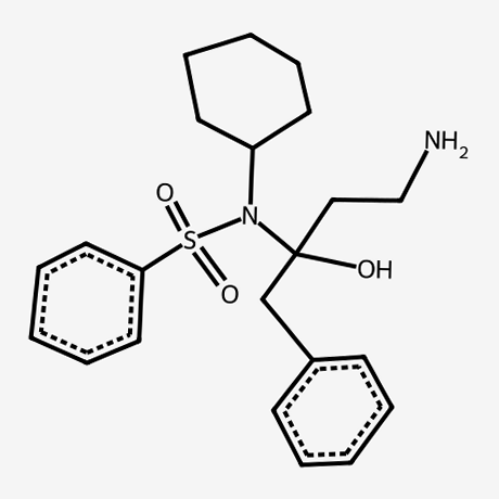 NCCC(O)(Cc1ccccc1)N(C1CCCCC1)S(=O)(=O)c1ccccc1